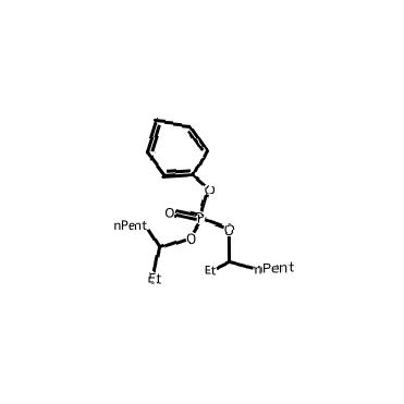 CCCCCC(CC)OP(=O)(Oc1ccccc1)OC(CC)CCCCC